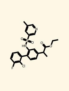 CCOC(=O)C(C)c1ccc(-c2cccc(F)c2Cl)c(NS(=O)(=O)c2cncc(C)c2)c1